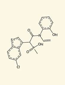 C=CN(C(=O)C(c1csc2ccc(Cl)cc12)P(C)(=O)O)c1ccccc1O